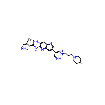 CC(C)C(=C/N)/C=C(\N)Nc1ccc2ncc(/C(C=N)=C/NCCCN3CCC(F)CC3)cc2n1